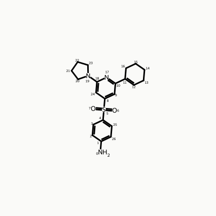 Nc1ccc(S(=O)(=O)c2cc(C3=CCCCC3)nc(N3CCCC3)c2)cc1